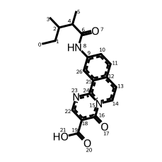 CCC(C)C(C)C(=O)Nc1ccc2ccn3c(=O)c(C(=O)O)cnc3c2c1